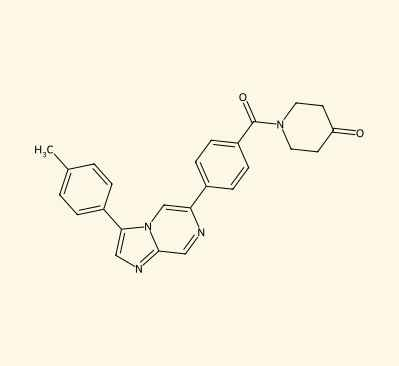 Cc1ccc(-c2cnc3cnc(-c4ccc(C(=O)N5CCC(=O)CC5)cc4)cn23)cc1